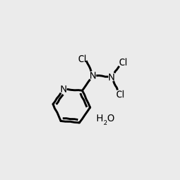 ClN(Cl)N(Cl)c1ccccn1.O